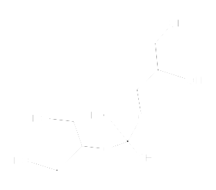 CC(C)(OCC(O)CO)OC(CO)CO